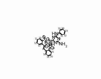 Nc1nc(NOS(=O)(=O)c2ccccc2C=Cc2ccccc2S(=O)(=O)O)nc(Nc2ccccc2)n1